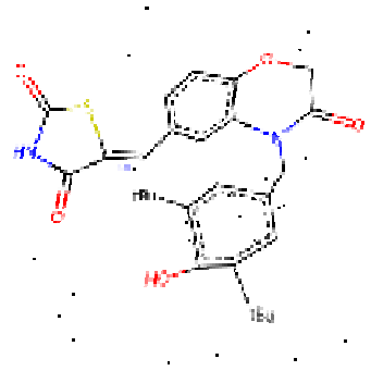 CC(C)(C)c1cc(CN2C(=O)COc3ccc(/C=C4\SC(=O)NC4=O)cc32)cc(C(C)(C)C)c1O